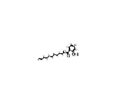 C=CCCCCCCCCOC(=O)c1ccccc1O